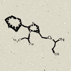 CC(C#N)n1c(COC(C#N)CC#N)cnc1-c1ccccc1